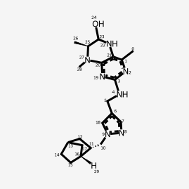 Cc1nc(NCc2cnn(C[C@H]3CC4CC[C@@H]3C4)c2)nc2c1NC(O)[C@H](C)N2C